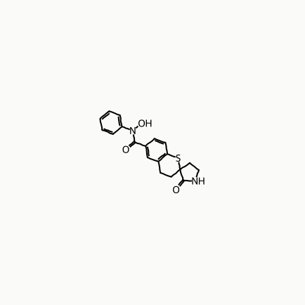 O=C(c1ccc2c(c1)CCC1(CCNC1=O)S2)N(O)c1ccccc1